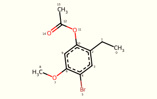 CCc1cc(Br)c(OC)cc1OC(C)=O